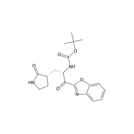 CC(C)(C)OC(=O)N[C@@H](C[C@@H]1CCNC1=O)C(=O)c1nc2ccccc2o1